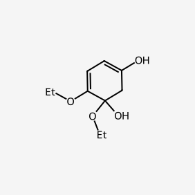 CCOC1=CC=C(O)CC1(O)OCC